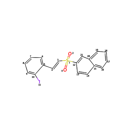 O=S(=O)(C=Cc1ccccc1I)c1ccc2ccccc2c1